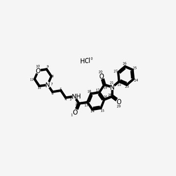 Cl.O=C(NCCCN1CCOCC1)c1ccc2c(c1)C(=O)N(c1ccccc1)C2=O